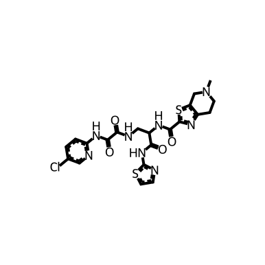 CN1CCc2nc(C(=O)NC(CNC(=O)C(=O)Nc3ccc(Cl)cn3)C(=O)Nc3nccs3)sc2C1